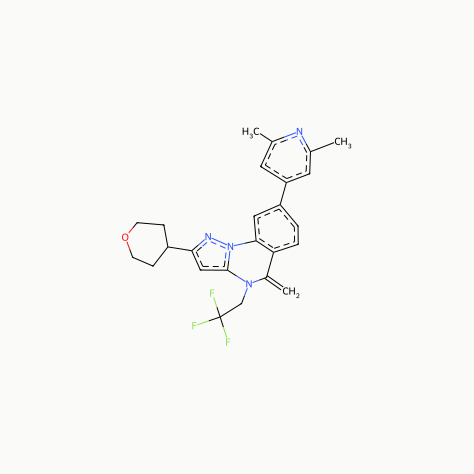 C=C1c2ccc(-c3cc(C)nc(C)c3)cc2-n2nc(C3CCOCC3)cc2N1CC(F)(F)F